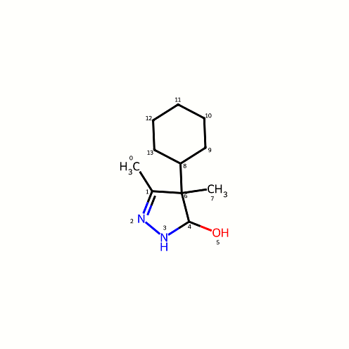 CC1=NNC(O)C1(C)C1CCCCC1